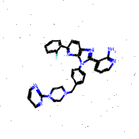 Nc1ncccc1-c1nc2ccc(-c3ccccc3F)nc2n1-c1ccc(CN2CCN(c3ncccn3)CC2)cc1